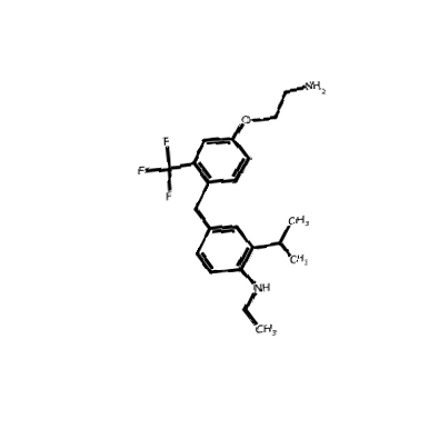 CCNc1ccc(Cc2ccc(OCCN)cc2C(F)(F)F)cc1C(C)C